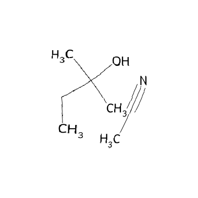 CC#N.CCC(C)(C)O